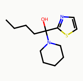 CCCCC(O)(c1nccs1)N1CCCCC1